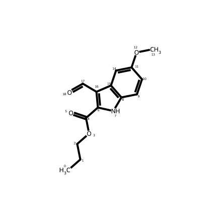 CCCOC(=O)c1[nH]c2ccc(OC)cc2c1C=O